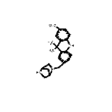 COc1ccc2c(c1)C(C)(C)c1cc(CN3CC4CC3CN4)ccc1N2